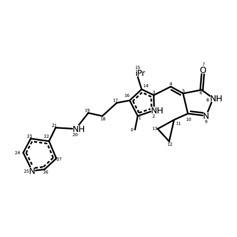 Cc1[nH]c(C=C2C(=O)NN=C2C2CC2)c(C(C)C)c1CCCNCc1ccncc1